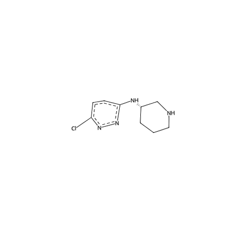 Clc1ccc(N[C@H]2CCCNC2)nn1